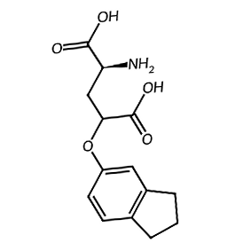 N[C@@H](CC(Oc1ccc2c(c1)CCC2)C(=O)O)C(=O)O